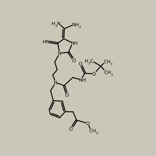 COC(=O)Cc1cccc(CN(CCCN2C(=N)C(=C(N)N)NC2=O)C(=O)CNC(=O)OC(C)(C)C)c1